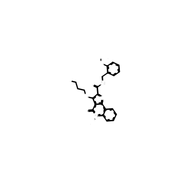 CCCCOc1c(C(=O)NCc2ccccc2OC)sc2c1c(=O)n(C)c1ccccc21